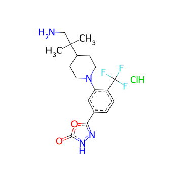 CC(C)(CN)C1CCN(c2cc(-c3n[nH]c(=O)o3)ccc2C(F)(F)F)CC1.Cl